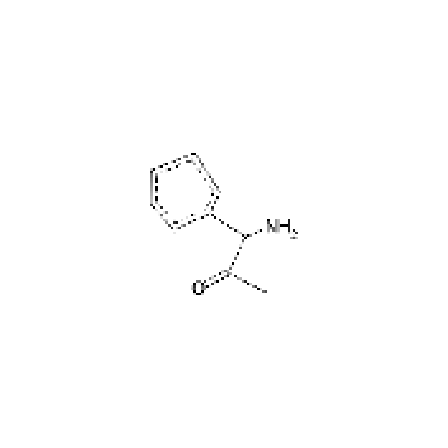 CC(=O)C(N)c1[c]cccc1